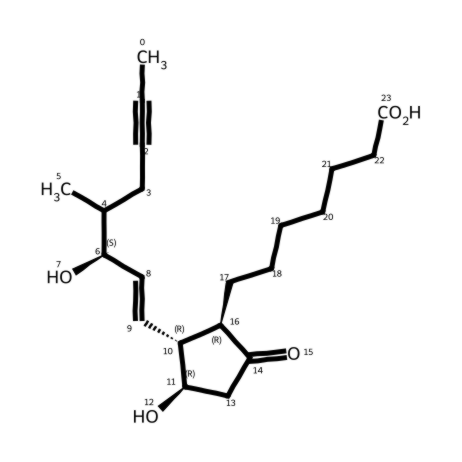 CC#CCC(C)[C@H](O)C=C[C@H]1[C@H](O)CC(=O)[C@@H]1CCCCCCC(=O)O